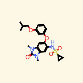 CC(C)COc1cccc(Oc2cc3c(cc2NS(=O)(=O)C2CC2)n(C)c(=O)n3C)c1